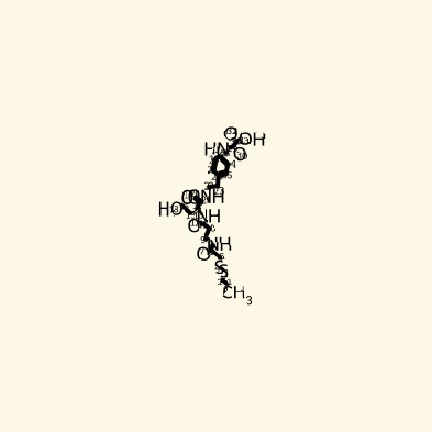 CCCSSCC(=O)NCCC(=O)N[C@@H](CC(=O)O)C(=O)NCCc1ccc(NC(=O)C(=O)O)cc1